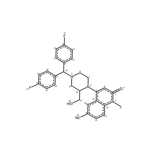 Cn1c(=O)cc(N2CCN(C(c3ccc(F)cc3)c3ccc(F)cc3)CC2CO)c2nc(C#N)ccc21